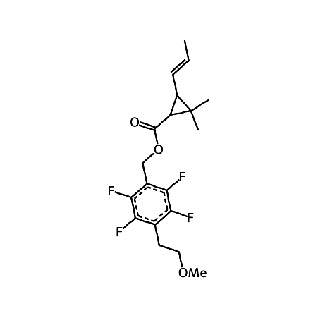 CC=CC1C(C(=O)OCc2c(F)c(F)c(CCOC)c(F)c2F)C1(C)C